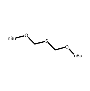 CCCCOCSCOCCCC